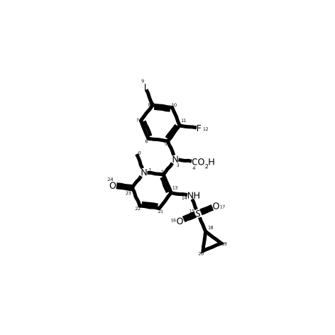 Cn1c(N(C(=O)O)c2ccc(I)cc2F)c(NS(=O)(=O)C2CC2)ccc1=O